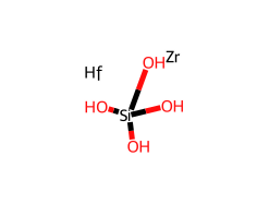 O[Si](O)(O)O.[Hf].[Zr]